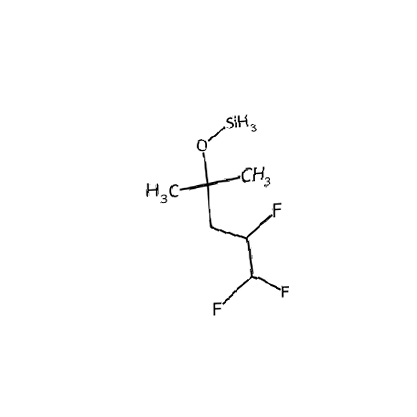 CC(C)(CC(F)C(F)F)O[SiH3]